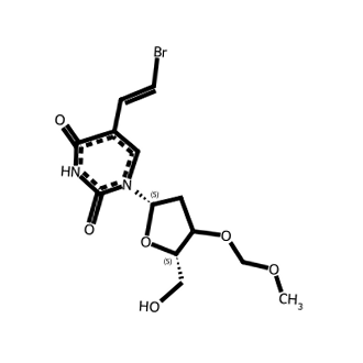 COCOC1C[C@@H](n2cc(C=CBr)c(=O)[nH]c2=O)O[C@H]1CO